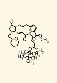 COC(=O)c1ccc(CCC[C@@H]2[C@@H](C=CC(=O)CCCCC(C)O[Si](C)(C)C(C)(C)C)[C@H](OC3CCCCO3)C[C@H]2Cl)s1